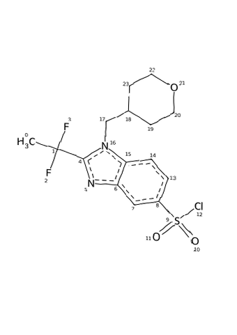 CC(F)(F)c1nc2cc(S(=O)(=O)Cl)ccc2n1CC1CCOCC1